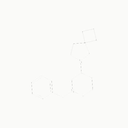 c1ccc(CN2CCCC(N3CCC4(CCC4)C3)C2)cc1